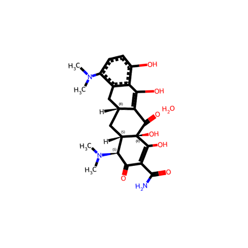 CN(C)c1ccc(O)c2c1C[C@H]1C[C@H]3[C@H](N(C)C)C(=O)C(C(N)=O)=C(O)[C@@]3(O)C(=O)C1=C2O.O